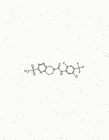 CS(=O)(=O)c1nnc2c(n1)CCN(C(=O)Nc1cc(Cl)c(C(F)(F)F)cc1F)C2